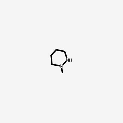 CN1CCCCN1